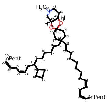 CCCCC/C=C\C/C=C\CCCCCCCCC1(CCCCCCC(C/C=C\C/C=C\CCCCC)C2CCC2)CCC2(CC1)O[C@H]1CN(C)CC[C@H]1O2